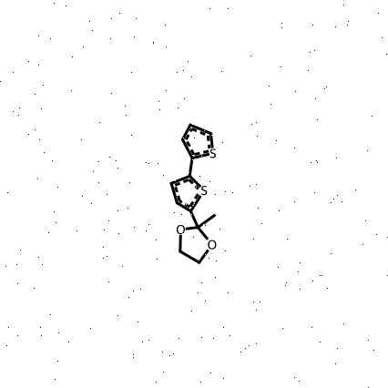 CC1(c2ccc(-c3cccs3)s2)OCCO1